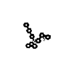 c1ccc(-c2ccc(-c3ccc(N(c4cccc(-c5cccc6c5sc5ccccc56)c4)c4cc5ccccc5c5ccccc45)cc3)cc2)cc1